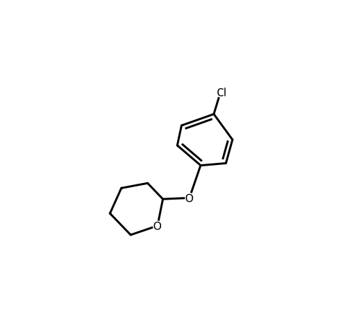 Clc1ccc(OC2CCCCO2)cc1